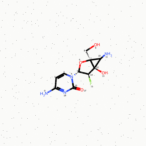 Nc1ccn([C@@H]2O[C@@]3(CO)C(N)[C@]3(O)[C@H]2F)c(=O)n1